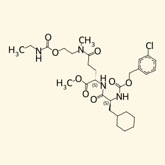 CCNC(=O)OCCN(C)C(=O)CC[C@H](NC(=O)[C@H](CC1CCCCC1)NC(=O)OCc1cccc(Cl)c1)C(=O)OC